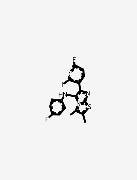 Cc1sc2nc(-c3ccc(F)cc3I)c(Nc3ccc(F)cc3)n2c1C